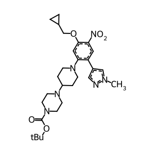 Cn1cc(-c2cc([N+](=O)[O-])c(OCC3CC3)cc2N2CCC(N3CCN(C(=O)OC(C)(C)C)CC3)CC2)cn1